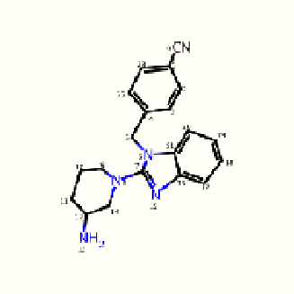 N#Cc1ccc(Cn2c(N3CCCC(N)C3)nc3ccccc32)cc1